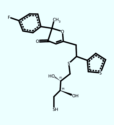 CC1(c2ccc(F)cc2)OC(CC(SC[C@@H](O)[C@@H](O)CS)c2ccsc2)=CC1=O